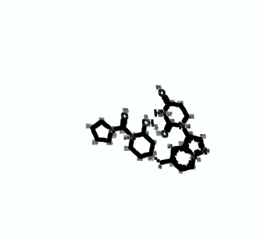 CC1C[C@H](Cc2ccn3ncc(N4CCC(=O)NC4=O)c3c2)CCN1C(=O)N1CCCC1